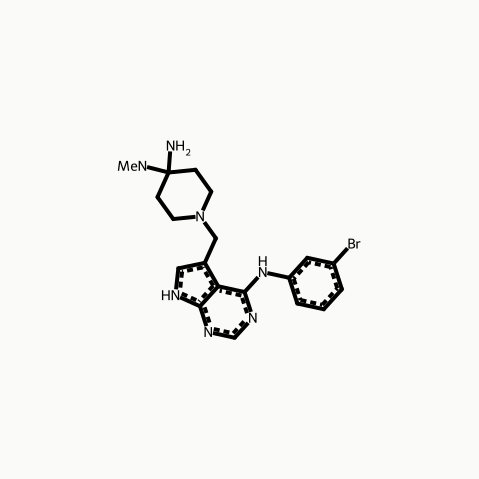 CNC1(N)CCN(Cc2c[nH]c3ncnc(Nc4cccc(Br)c4)c23)CC1